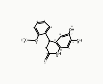 COc1ccccc1C1CC(=O)Nc2cc(O)c(O)cc21